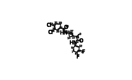 C[C@@H](C(=O)Nc1ccc(F)c(F)c1)C12CC(NC(=O)c3ccc(Cl)c(Cl)c3)(C1)C2